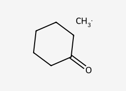 O=C1CCCCC1.[CH3]